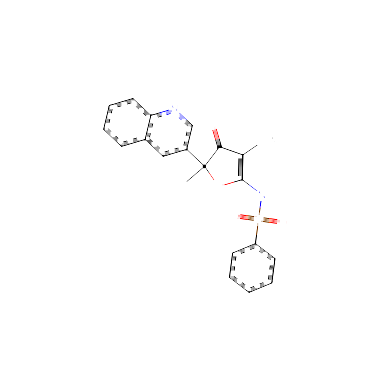 CC(=O)OC1=C(NS(=O)(=O)c2ccccc2)OC(C)(c2cnc3ccccc3c2)C1=O